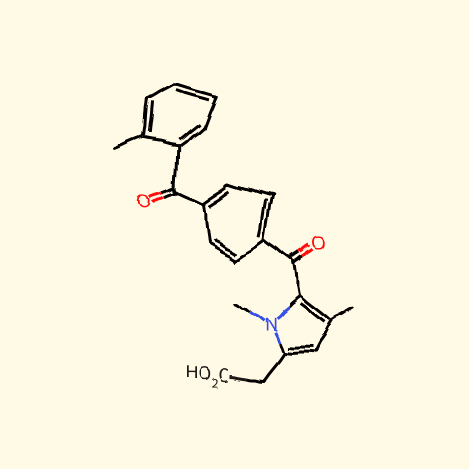 Cc1ccccc1C(=O)c1ccc(C(=O)c2c(C)cc(CC(=O)O)n2C)cc1